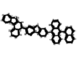 c1ccc2c(-c3c4ccccc4c(-c4ccc5c(c4)oc4cc(-c6cc7oc8ccccc8c7c7ccccc67)ccc45)c4ccccc34)cccc2c1